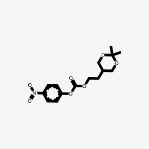 CC1(C)OCC(CCOC(=O)Oc2ccc([N+](=O)[O-])cc2)CO1